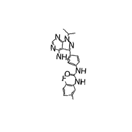 Cc1ccc(F)c(NC(=O)Nc2ccc(-c3nn(C(C)C)c4ncnc(N)c34)cc2)c1